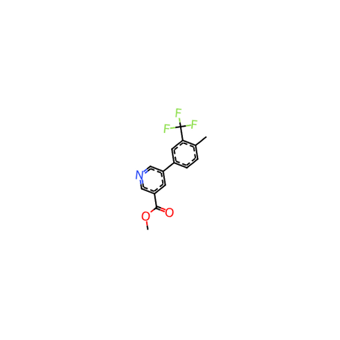 COC(=O)c1cncc(-c2ccc(C)c(C(F)(F)F)c2)c1